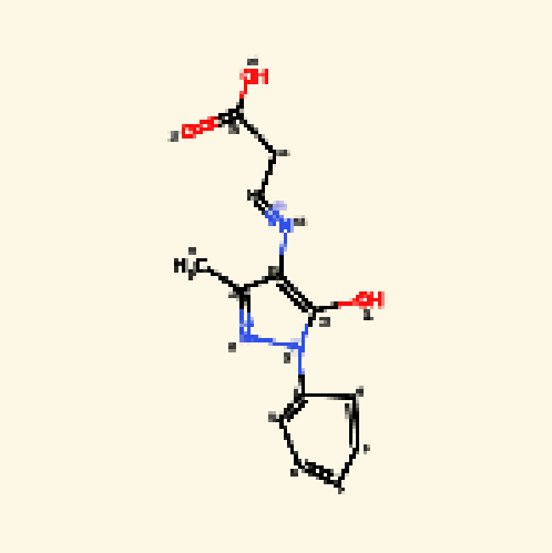 Cc1nn(-c2ccccc2)c(O)c1/N=C/CC(=O)O